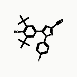 CC(C)(C)c1cc(-c2cc(C#N)nn2-c2ccc(F)cc2)cc(C(C)(C)C)c1O